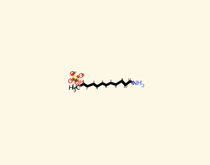 CCCCCCCCCCCCN.O=S(=O)([O-])O.[Li+]